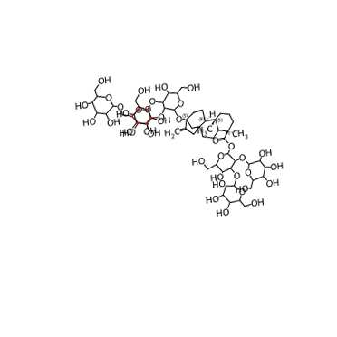 C=C1CC23CCC4[C@](C)(C(=O)OC5OC(CO)C(O)C(OC6OC(CO)C(O)C(O)C6O)C5OC5OC(CO)C(O)C(O)C5O)CCC[C@@]4(C)[C@@H]2CC[C@]1(OC1OC(CO)C(O)C(OC2OC(COC4OC(CO)C(O)C(O)C4O)C(O)C(O)C2O)C1OC1OC(CO)C(O)C(O)C1O)C3